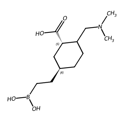 CN(C)CC1CC[C@@H](CCB(O)O)C[C@@H]1C(=O)O